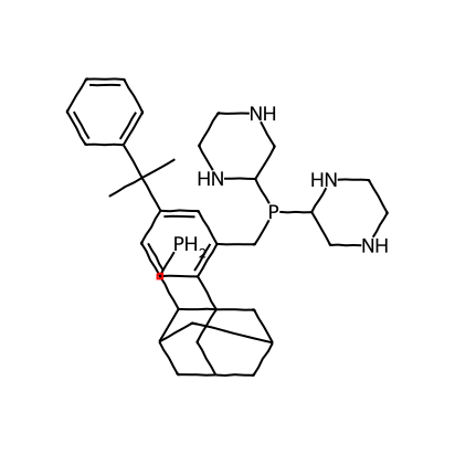 CC(C)(c1ccccc1)c1ccc(C23CC4CC(CC(C4)C2CP)C3)c(CP(C2CNCCN2)C2CNCCN2)c1